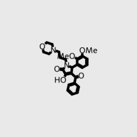 COc1cccc(C2C(C(=O)c3ccccc3)=C(O)C(=O)N2CCCN2CCOCC2)c1OC